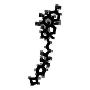 CC[C@H]1[C@@H](O)[C@@H]2[C@H](CC[C@]3(C)[C@@H](CCOC(=O)NS(=O)(=O)c4ccc(N5CCC5)nc4)CC[C@@H]23)[C@@]2(C)CC[C@@H](O)C[C@@H]12